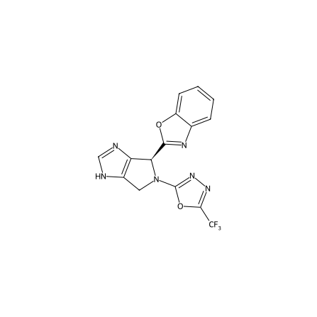 FC(F)(F)c1nnc(N2Cc3[nH]cnc3[C@H]2c2nc3ccccc3o2)o1